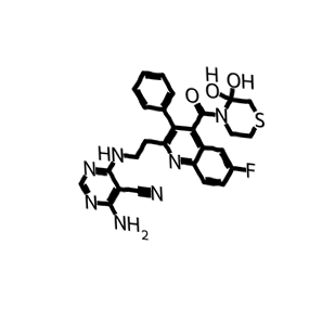 N#Cc1c(N)ncnc1NCCc1nc2ccc(F)cc2c(C(=O)N2CCSCC2(O)O)c1-c1ccccc1